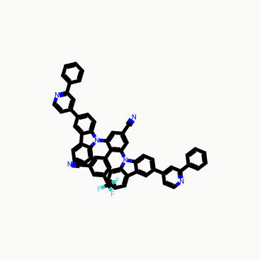 N#Cc1cc(-c2c(-n3c4ccccc4c4cc(-c5ccnc(-c6ccccc6)c5)ccc43)cc(C#N)cc2-n2c3ccccc3c3cc(-c4ccnc(-c5ccccc5)c4)ccc32)cc(C(F)(F)F)c1